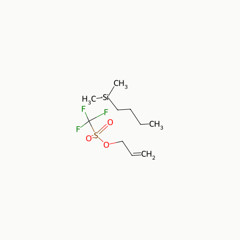 C=CCOS(=O)(=O)C(F)(F)F.CCCC[Si](C)C